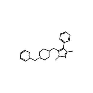 Cc1nn(C)c(CN2CCN(Cc3ccccc3)CC2)c1-c1ccccc1